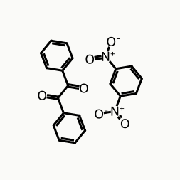 O=C(C(=O)c1ccccc1)c1ccccc1.O=[N+]([O-])c1cccc([N+](=O)[O-])c1